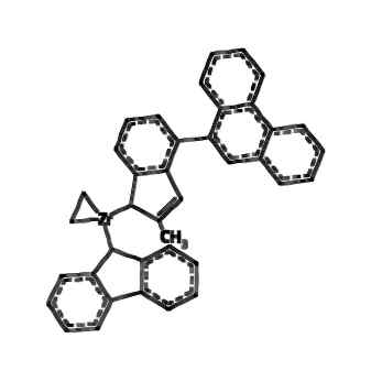 CC1=Cc2c(-c3cc4ccccc4c4ccccc34)cccc2[CH]1[Zr]1([CH]2c3ccccc3-c3ccccc32)[CH2][CH2]1